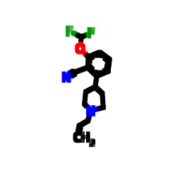 C=CCN1CCC(c2cccc(OC(F)F)c2C#N)CC1